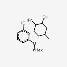 CC1CCC(C(C)C)C(O)C1.CCCCCCOc1cccc(O)c1